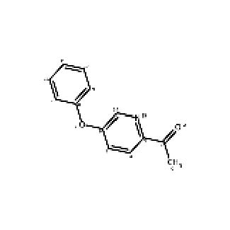 CC(=O)c1ccc(Oc2ccccc2)cn1